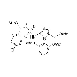 COCc1nnc(NS(=O)(=O)C(C)C(OC)c2ccc(Cl)cn2)n1-c1c(OC)cccc1OC